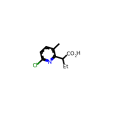 CCC(C(=O)O)c1nc(Cl)ccc1C